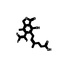 CC(=CCc1c(O)c2c(c(C)c1C(F)=C(F)F)COC2=O)CCC(=O)O